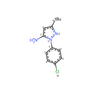 CC(C)(C)c1cc(N)n(-c2ccc(Cl)cc2)n1